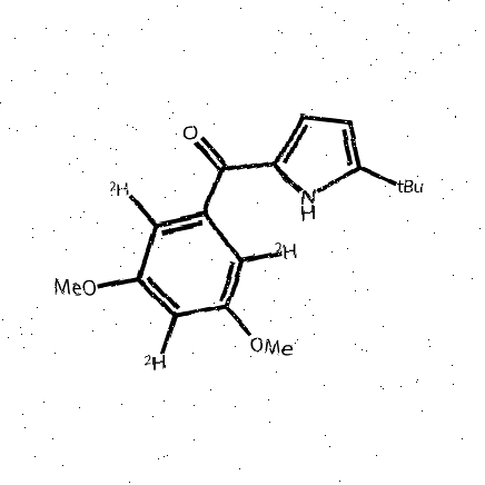 [2H]c1c(OC)c([2H])c(C(=O)c2ccc(C(C)(C)C)[nH]2)c([2H])c1OC